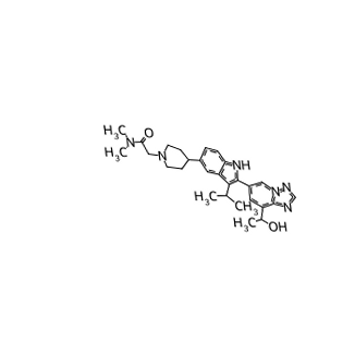 CC(C)c1c(-c2cc(C(C)O)c3ncnn3c2)[nH]c2ccc(C3CCN(CC(=O)N(C)C)CC3)cc12